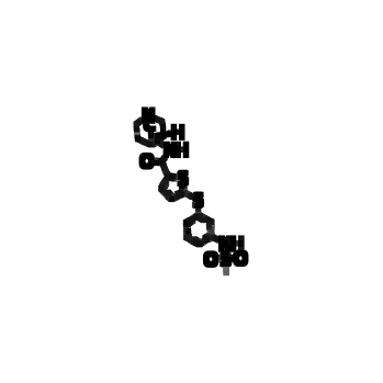 CS(=O)(=O)Nc1cccc(Sc2ccc(C(=O)N[C@H]3CN4CCC3CC4)s2)c1